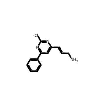 NCC=Cc1cc(-c2ccccc2)nc(Cl)n1